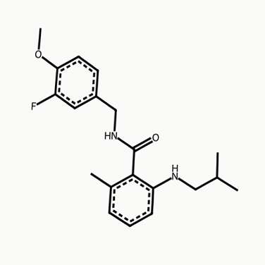 COc1ccc(CNC(=O)c2c(C)cccc2NCC(C)C)cc1F